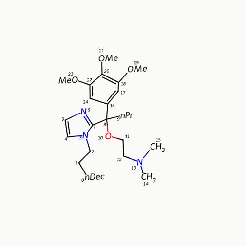 CCCCCCCCCCCCn1ccnc1C(CCC)(OCCN(C)C)c1cc(OC)c(OC)c(OC)c1